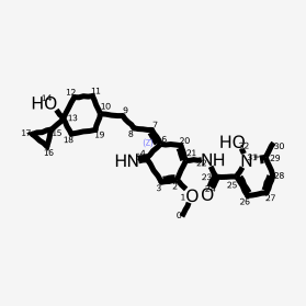 COC1=CC(=N)/C(=C\CCC2CCC(O)(C3CC3)CC2)C=C1NC(=O)c1cccc(C)[n+]1O